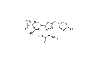 NC(=O)c1ncc(-c2cn(Cc3ccc(Cl)cc3)nn2)cc1O.NCC(=O)O